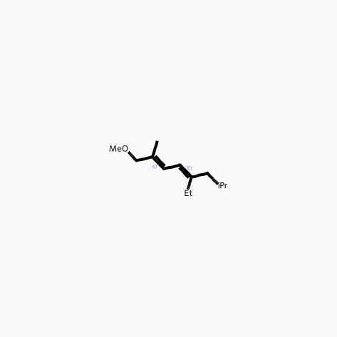 CC/C(=C\C=C(/C)COC)CC(C)C